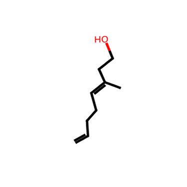 C=CCC/C=C(\C)CCO